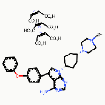 CC(C)N1CCN([C@H]2CC[C@@H](n3cc(-c4ccc(Oc5ccccc5)cc4)c4c(N)ncnc43)CC2)CC1.O=C(O)/C=C\C(=O)O.O=C(O)/C=C\C(=O)O.O=C(O)/C=C\C(=O)O